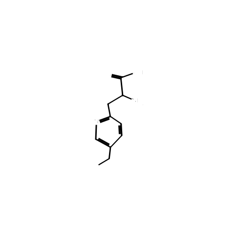 NC(Cc1ccc(CF)cn1)C(=O)O